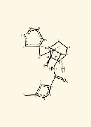 Cc1ccc(C(=O)N[C@@H]2C3CCN(CC3)[C@H]2Cc2cccnc2)s1